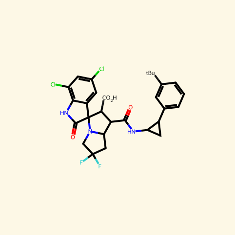 CC(C)(C)c1cccc(C2CC2NC(=O)C2C3CC(F)(F)CN3C3(C(=O)Nc4c(Cl)cc(Cl)cc43)C2C(=O)O)c1